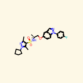 Cc1nn(C2CCCC2)c(C)c1S(=O)(=O)N[C@@H](C)COc1ccc2c(cnn2-c2ccc(F)cc2)c1